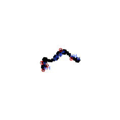 O=C(/C=C/c1cccnc1)NCCCCC1CCN(C(=O)c2ccc(N3CCN(CCCC#Cc4cccc5c4CN(C4CCC(=O)NC4=O)C5=O)CC3)nn2)CC1